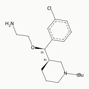 CC(C)(C)N1CCC[C@@H]([C@@H](OCCN)c2cccc(Cl)c2)C1